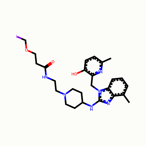 Cc1ccc(O)c(Cn2c(NC3CCN(CCNC(=O)CCOCI)CC3)nc3c(C)cccc32)n1